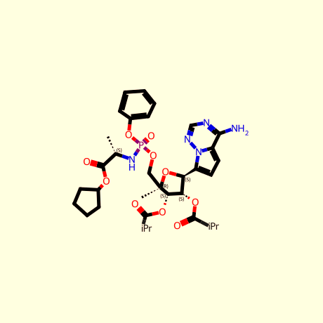 CC(C)C(=O)O[C@H]1[C@H](c2ccc3c(N)ncnn23)O[C@](C)(COP(=O)(N[C@@H](C)C(=O)OC2CCCC2)Oc2ccccc2)[C@H]1OC(=O)C(C)C